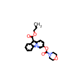 C=CCOC(=O)c1c2ccccc2n2cc(OC(=O)N3CCOCC3)ccc12